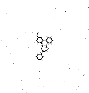 COc1ccc(C(CC(=O)c2ccccc2)C(=O)c2ccccc2)cc1